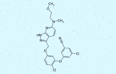 COCCN(C)c1ccc2c(COc3ccc(Cl)c(Oc4cc(Cl)cc(C#N)c4)c3)n[nH]c2n1